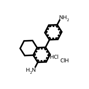 Cl.Cl.Nc1ccc(-c2ccc(N)c3c2CCCC3)cc1